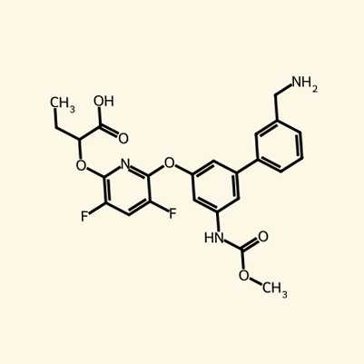 CCC(Oc1nc(Oc2cc(NC(=O)OC)cc(-c3cccc(CN)c3)c2)c(F)cc1F)C(=O)O